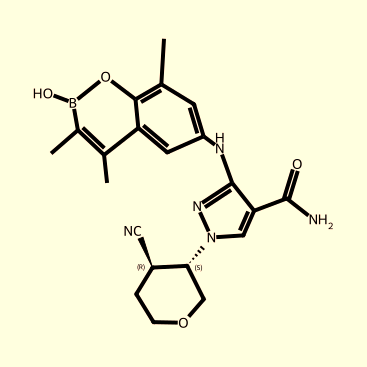 CC1=C(C)c2cc(Nc3nn([C@@H]4COCC[C@H]4C#N)cc3C(N)=O)cc(C)c2OB1O